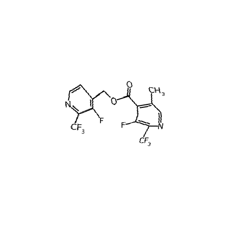 Cc1cnc(C(F)(F)F)c(F)c1C(=O)OCc1ccnc(C(F)(F)F)c1F